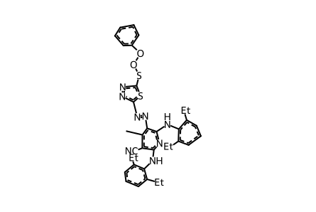 CCc1cccc(CC)c1Nc1nc(Nc2c(CC)cccc2CC)c(N=Nc2nnc(SOOc3ccccc3)s2)c(C)c1C#N